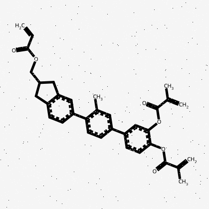 C=CC(=O)OCC1Cc2ccc(-c3ccc(-c4ccc(OC(=O)C(=C)C)c(OC(=O)C(=C)C)c4)cc3C)cc2C1